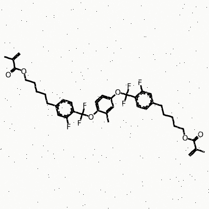 C=C(C)C(=O)OCCCCCc1ccc(C(F)(F)OC2=C=C=C(OC(F)(F)c3ccc(CCCCCOC(=O)C(=C)C)cc3F)C(C)=C2)c(F)c1